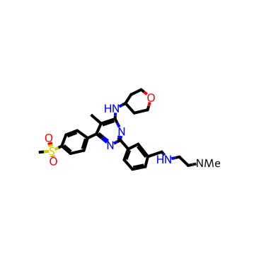 CNCCNCc1cccc(-c2nc(NC3CCOCC3)c(C)c(-c3ccc(S(C)(=O)=O)cc3)n2)c1